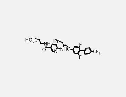 CC(C)C[C@@H](COc1cc(F)c(-c2ccc(C(F)(F)F)cc2)c(F)c1)Nc1ccc(C(=O)NCCC(=O)O)cn1